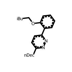 CCCCCCCCCCc1ccc(-c2ccccc2OCC(C)CC)nn1